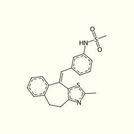 Cc1nc2c(s1)C(=Cc1cccc(NS(C)(=O)=O)c1)c1ccccc1CC2